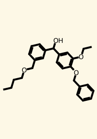 CCCCOCc1cccc(C(O)c2ccc(OCc3ccccc3)c(OCC)c2)c1